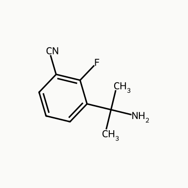 CC(C)(N)c1cccc(C#N)c1F